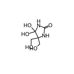 O=C1NC(O)(O)C(CO)(CO)N1